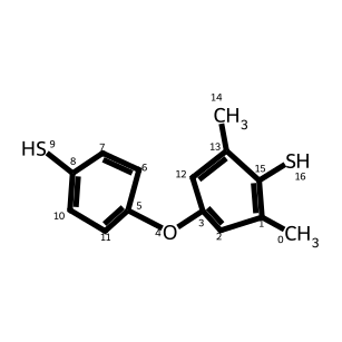 Cc1cc(Oc2ccc(S)cc2)cc(C)c1S